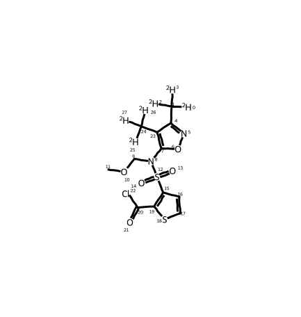 [2H]C([2H])([2H])c1noc(N(COC)S(=O)(=O)c2ccsc2C(=O)Cl)c1C([2H])([2H])[2H]